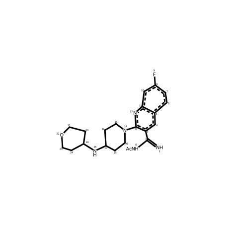 CC(=O)NC(=N)c1cc2ccc(F)cc2nc1N1CCC(NC2CCOCC2)CC1